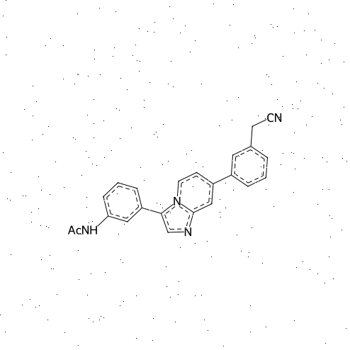 CC(=O)Nc1cccc(-c2cnc3cc(-c4cccc(CC#N)c4)ccn23)c1